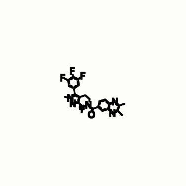 Cc1nc2ccc(C(=O)N3CCc4c(nn(C)c4-c4cc(F)c(F)c(F)c4)[C@@H]3C)cc2nc1C